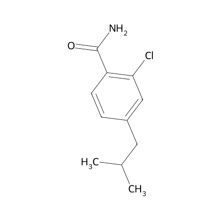 CC(C)Cc1ccc(C(N)=O)c(Cl)c1